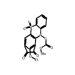 CCOc1c2cc3c(c1C(=O)C2=O)N(OC(=O)OC(C)(C)C)c1ccccc1S3(=O)=O